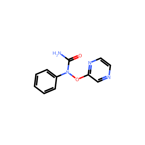 NC(=O)N(Oc1cnccn1)c1ccccc1